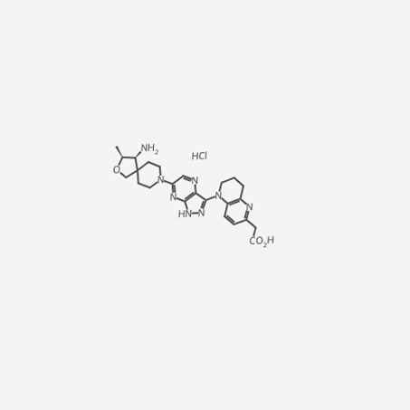 C[C@@H]1OCC2(CCN(c3cnc4c(N5CCCc6nc(CC(=O)O)ccc65)n[nH]c4n3)CC2)[C@@H]1N.Cl